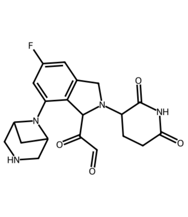 O=CC(=O)C1c2c(cc(F)cc2N2C3CNCC2C3)CN1C1CCC(=O)NC1=O